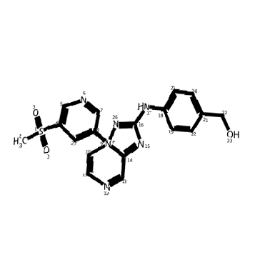 CS(=O)(=O)c1cncc([N+]23C=CN=CC2=NC(Nc2ccc(CO)cc2)=N3)c1